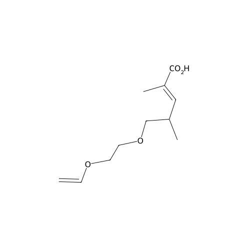 C=COCCOCC(C)C=C(C)C(=O)O